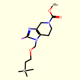 CC(C)(C)OC(=O)N1CCc2c(nc(I)n2COCC[Si](C)(C)C)C1